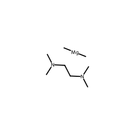 CN(C)CCN(C)C.[CH3][Mg][CH3]